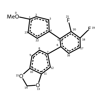 COc1ccc(-c2c(-c3ccc4c(c3)OCO4)c[c]c(F)c2F)cc1